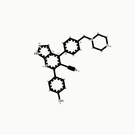 N#Cc1c(-c2ccc(O)cc2)nc2[nH]ncc2c1-c1ccc(CN2CCOCC2)cc1